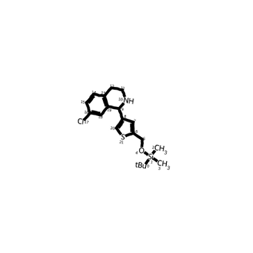 CC(C)(C)[Si](C)(C)OCc1cc(C2NCCc3ccc(Cl)cc32)cs1